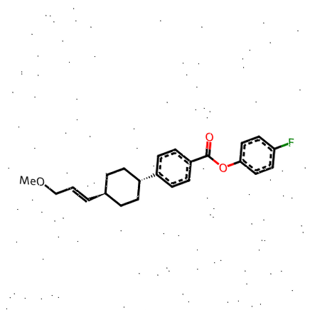 COCC=C[C@H]1CC[C@H](c2ccc(C(=O)Oc3ccc(F)cc3)cc2)CC1